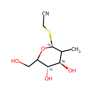 CC1[C@@H](O)[C@H](O)C(CO)O[C@H]1SCC#N